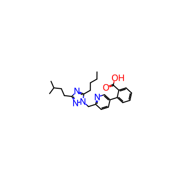 CCCCc1nc(CCC(C)C)nn1Cc1ccc(-c2ccccc2C(=O)O)cn1